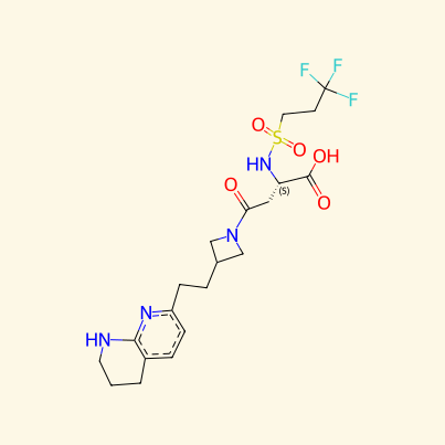 O=C(O)[C@H](CC(=O)N1CC(CCc2ccc3c(n2)NCCC3)C1)NS(=O)(=O)CCC(F)(F)F